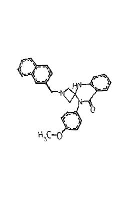 COc1ccc(N2C(=O)c3ccccc3NC23CN(Cc2ccc4ccccc4c2)C3)cc1